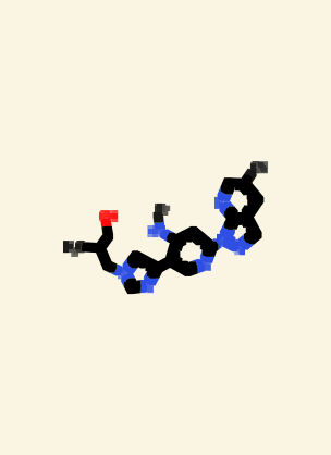 CC(CO)Cn1cnc(-c2cnc(-n3ncc4cc(C#N)cnc43)cc2NC(C)C)c1